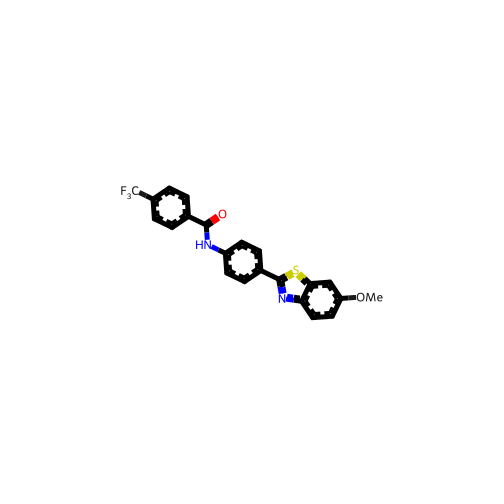 COc1ccc2nc(-c3ccc(NC(=O)c4ccc(C(F)(F)F)cc4)cc3)sc2c1